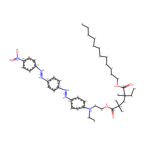 CCCCCCCCCCCCOC(=O)C(C)(CC)CC(C)(C)C(=O)OCCN(CC)c1ccc(/N=N/c2ccc(/N=N/c3ccc([N+](=O)[O-])cc3)cc2)cc1